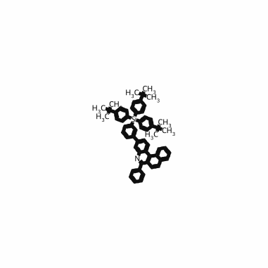 CC(C)(C)c1ccc([Si](c2ccc(C(C)(C)C)cc2)(c2ccc(C(C)(C)C)cc2)c2cccc(-c3ccc4c(c3)nc(-c3ccccc3)c3ccc5ccccc5c34)c2)cc1